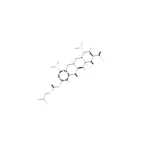 CC(C)COC(=O)Nc1cc(N(C)C)c2c(c1O)C(=O)C1=C(O)[C@@]3(O)C(=O)C(C(N)=O)=C(O)[C@H](N(C)C)[C@H]3C[C@H]1C2